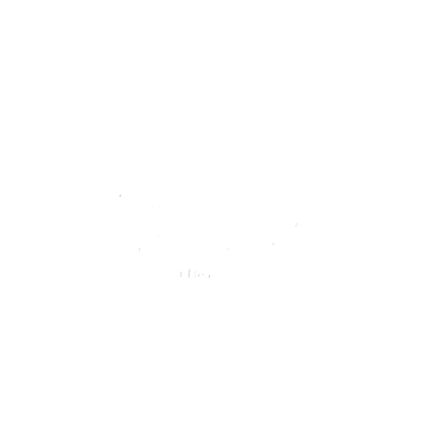 CCCCCCCCOC(=O)C(CCCCBr)CCCCCC